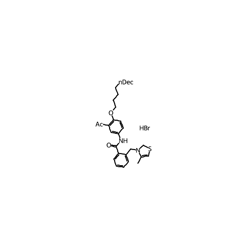 Br.CCCCCCCCCCCCCCOc1ccc(NC(=O)c2ccccc2CN2CSC=C2C)cc1C(C)=O